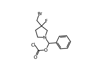 O=C(Cl)OC(c1ccccc1)N1CCC(F)(CBr)C1